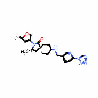 C=C1C=C(N2C(=O)[C@]3(CC[C@H](NCc4ccc(-n5cnnn5)nc4)CC3)C[C@H]2C)CO1